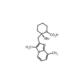 Cc1cccn2c(C)c(C[C@]3(C(C)(C)C)CCCCN3C(=O)O)nc12